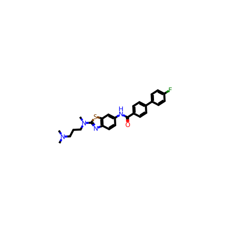 CN(C)CCCN(C)c1nc2ccc(NC(=O)c3ccc(-c4ccc(F)cc4)cc3)cc2s1